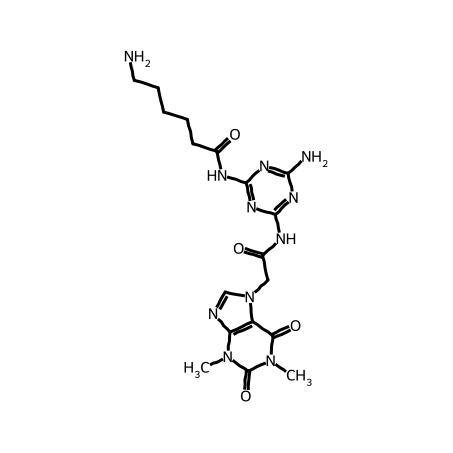 Cn1c(=O)c2c(ncn2CC(=O)Nc2nc(N)nc(NC(=O)CCCCCN)n2)n(C)c1=O